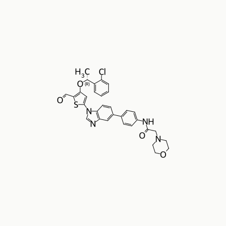 C[C@@H](Oc1cc(-n2cnc3cc(-c4ccc(NC(=O)CN5CCOCC5)cc4)ccc32)sc1C=O)c1ccccc1Cl